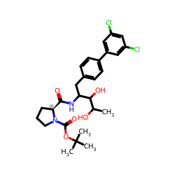 CC(O)C(O)C(Cc1ccc(-c2cc(Cl)cc(Cl)c2)cc1)NC(=O)[C@@H]1CCCN1C(=O)OC(C)(C)C